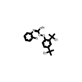 CCCC(=Nc1ccccc1[S])OOc1ccc(C(C)(C)CC)cc1C(C)(C)CC